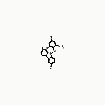 O=[N+]([O-])c1cc([N+](=O)[O-])c(Nn2c3ccccc3c3cc(Cl)ccc32)c([N+](=O)[O-])c1